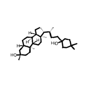 C[C@H](CCC1(O)CCC(C)(C)CC1)[C@H]1CC[C@H]2[C@@H]3CC[C@H]4C[C@@](C)(O)CC[C@]4(C)[C@H]3CC[C@]12C